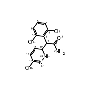 NC(=O)C(c1c(Cl)cccc1Cl)C1C=CC(Cl)=NN1